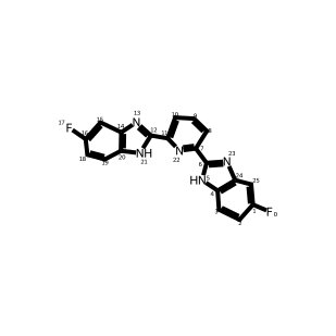 Fc1ccc2[nH]c(-c3cccc(-c4nc5cc(F)ccc5[nH]4)n3)nc2c1